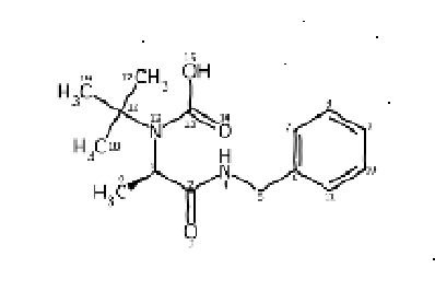 C[C@H](C(=O)NCc1ccccc1)N(C(=O)O)C(C)(C)C